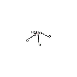 Oc1ccc(COCCCCCCCCc2ccccc2)c(COCCCCCCCCc2ccccc2)c1COCCCCCCCCc1ccccc1